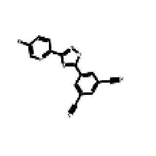 N#Cc1cc(C#N)cc(-c2nc(-c3ccc(F)cn3)no2)c1